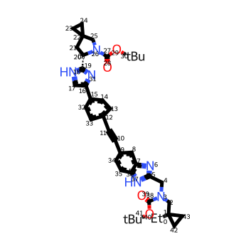 CCC1(CN(Cc2nc3cc(C#Cc4ccc(-c5c[nH]c([C@@H]6CC7(CC7)CN6C(=O)OC(C)(C)C)n5)cc4)ccc3[nH]2)C(=O)OC(C)(C)C)CC1